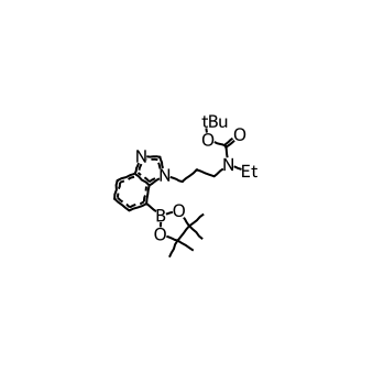 CCN(CCCn1cnc2cccc(B3OC(C)(C)C(C)(C)O3)c21)C(=O)OC(C)(C)C